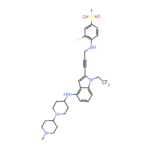 CN1CCC(N2CCC(Nc3cccc4c3cc(C#CCNc3ccc(S(C)(=O)=O)cc3F)n4CC(F)(F)F)CC2)CC1